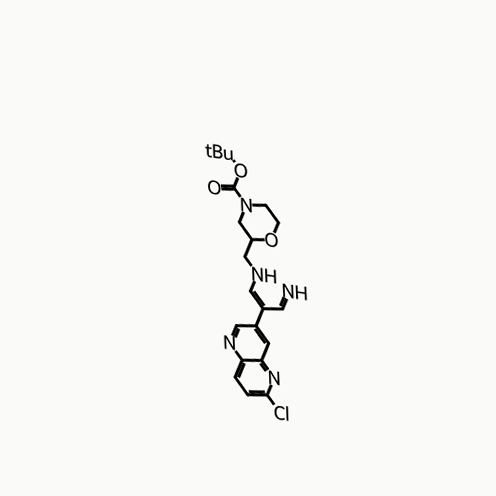 CC(C)(C)OC(=O)N1CCOC(CN/C=C(\C=N)c2cnc3ccc(Cl)nc3c2)C1